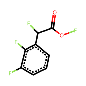 O=C(OF)C(F)c1cccc(F)c1F